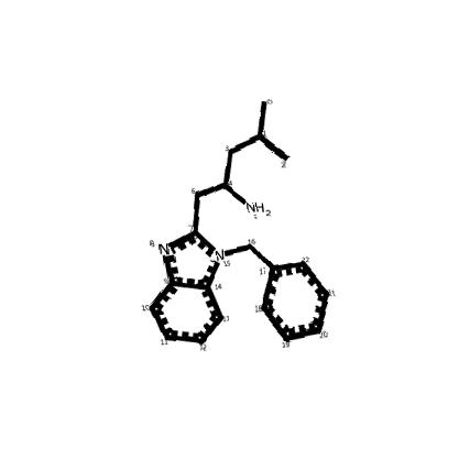 CC(C)CC(N)Cc1nc2ccccc2n1Cc1ccccc1